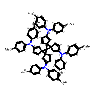 COc1ccc(N(C2=CC3(C=C2)C2(C=CC(N(c4ccc(OC)cc4)c4ccc(OC)cc4)=C2)C32C3(C=CC(N(c4ccc(OC)cc4)c4ccc(OC)cc4)=C3)C23C=CC(N(c2ccc(OC)cc2)c2ccc(OC)cc2)=C3)c2ccc(OC)cc2)cc1